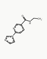 [CH2]CNC(=O)c1ccc(-n2ccnc2)nc1